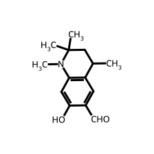 CC1CC(C)(C)N(C)c2cc(O)c(C=O)cc21